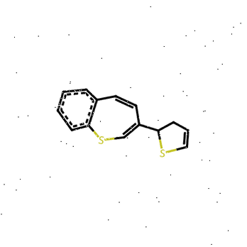 [C]1=C(C2CC=CS2)C=Cc2ccccc2S1